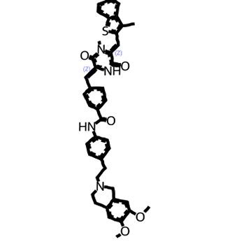 COc1cc2c(cc1OC)CN(CCc1ccc(NC(=O)c3ccc(/C=c4\[nH]c(=O)/c(=C/c5sc6ccccc6c5C)n(C)c4=O)cc3)cc1)CC2